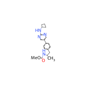 COC(=O)NC(C)Cc1ccc(-c2cnc(NC3CCC3)nc2)cc1